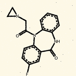 O=C1Nc2ccccc2N(C(=O)CN2CC2)c2ccc(F)cc21